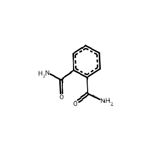 NC(=O)c1c[c]ccc1C(N)=O